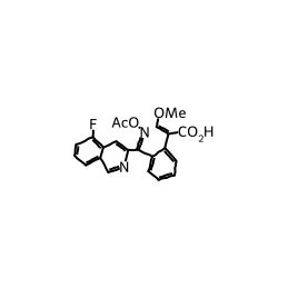 COC=C(C(=O)O)c1ccccc1C(=NOC(C)=O)c1cc2c(F)cccc2cn1